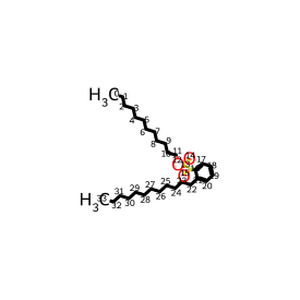 CCCCCCCCCCCCOS(=O)(=O)c1ccccc1CCCCCCCCCCCC